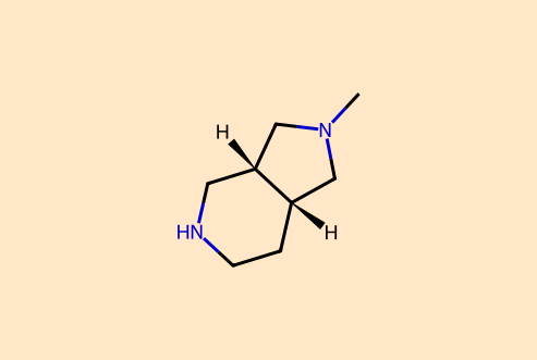 CN1C[C@H]2CNCC[C@H]2C1